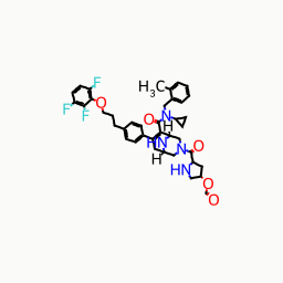 Cc1ccccc1CN(C(=O)C1=C(c2ccc(CCCOc3c(F)ccc(F)c3F)cc2)C[C@H]2CN(C(=O)C3C[C@@H](OC=O)CN3)C[C@@H]1N2)C1CC1